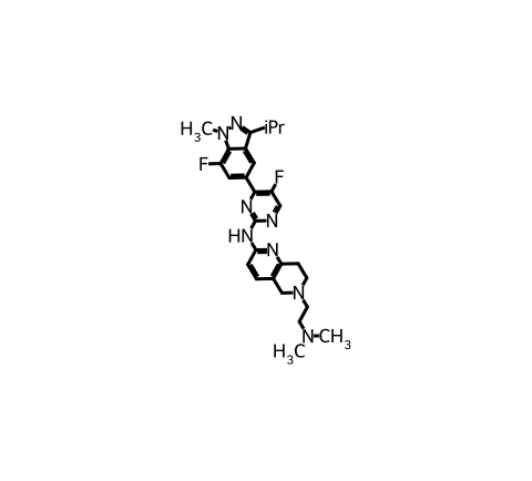 CC(C)c1nn(C)c2c(F)cc(-c3nc(Nc4ccc5c(n4)CCN(CCN(C)C)C5)ncc3F)cc12